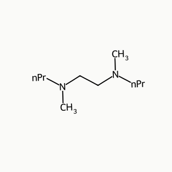 [CH2]CCN(C)CCN(C)CC[CH2]